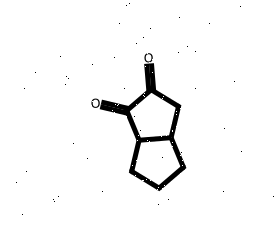 O=C1CC2CCCC2C1=O